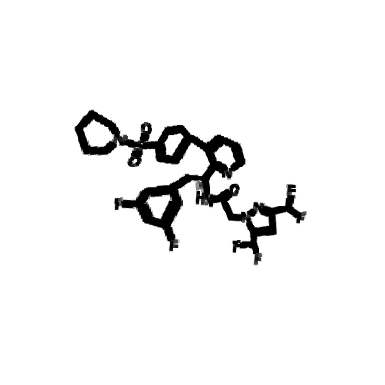 O=C(Cn1nc(C(F)F)cc1C(F)F)N[C@@H](Cc1cc(F)cc(F)c1)c1ncccc1-c1ccc(S(=O)(=O)N2CCCCC2)cc1